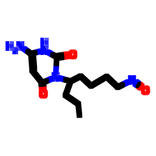 CCCC(CCCCN=O)n1c(=O)cc(N)[nH]c1=O